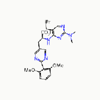 COc1cccc(OC)c1-c1ncc(C[C@H](Nc2nc(N(C)C)ncc2CC(C)C)C(=O)O)cn1